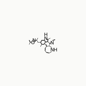 C=C/N=C(\c1c(C)[nH]c2cc(C/C(C)=N\OC(=C)C)c(C)cc12)[C@H]1CNC/C=C\C=C/C1=C